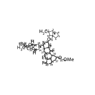 C=C1CN2CCCC2(COc2nc(N3C[C@@H]4C[C@H](C3)[C@H](O[Si](C)(C)C(C)(C)C)C4)c3cc(F)c(-c4cc(OCOC)cc5ccc(F)c(CC)c45)c(F)c3n2)C1